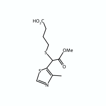 COC(=O)C(SCCCC(=O)O)c1scnc1C